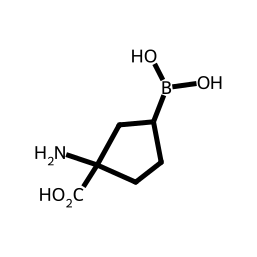 NC1(C(=O)O)CCC(B(O)O)C1